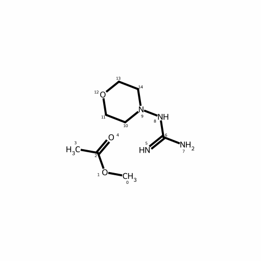 COC(C)=O.N=C(N)NN1CCOCC1